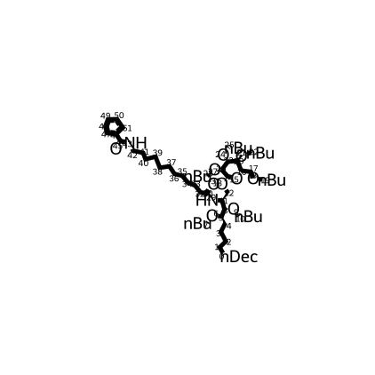 CCCCCCCCCCCCCC[C@@H](OCCCC)[C@@H](OCCCC)[C@H](CO[C@H]1OC(COCCCC)[C@H](OCCCC)[C@H](OCCCC)C1OCCCC)NC(=O)CCCCCCCCCCCNC(=O)c1ccccc1